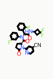 N#Cc1ccnc(N2C(=O)CC[C@H]2C(=O)N(c2cccc(F)c2)[C@H](C(=O)NC2CC(F)(F)C2)c2ccccc2F)c1